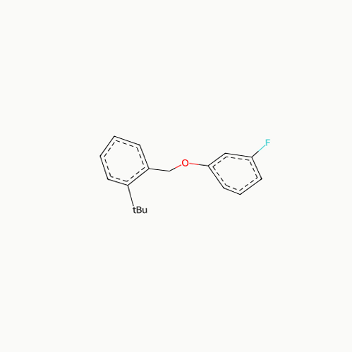 CC(C)(C)c1ccccc1COc1cccc(F)c1